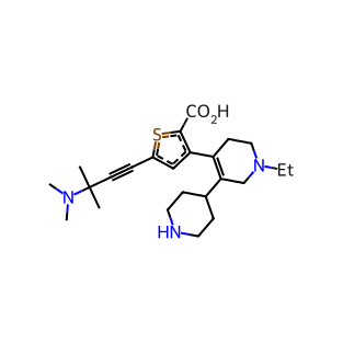 CCN1CCC(c2cc(C#CC(C)(C)N(C)C)sc2C(=O)O)=C(C2CCNCC2)C1